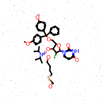 COc1ccc(C(OCC2OC(n3ccc(=O)[nH]c3=O)C(F)C2OP(OCCCCSC=O)N(C(C)C)C(C)C)(c2ccccc2)c2ccc(OC)cc2)cc1